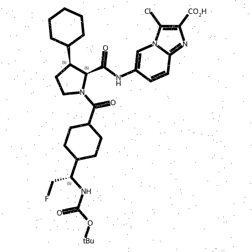 CC(C)(C)OC(=O)N[C@H](CF)C1CCC(C(=O)N2CC[C@@H](C3CCCCC3)[C@H]2C(=O)Nc2ccc3nc(C(=O)O)c(Cl)n3c2)CC1